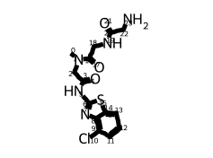 CN(CC(=O)Nc1nc2c(Cl)cccc2s1)C(=O)CNC(=O)CN